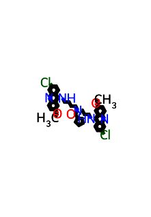 COc1ccc2nc3cc(Cl)ccc3c(NCCCCN(CCCNc3c4ccc(Cl)cc4nc4ccc(OC)cc34)C(=O)C3CCCC3)c2c1